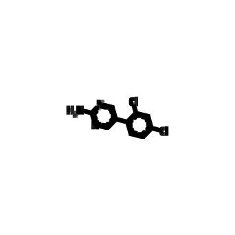 Nc1ncc(-c2ccc(Cl)cc2Cl)cn1